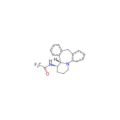 O=C(N[C@@H]1CCCN2c3ccccc3Cc3ccccc3[C@@H]12)C(F)(F)F